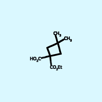 CCOC(=O)C1(C(=O)O)CC(C)(C)C1